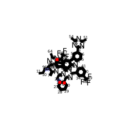 C=C(/C=C\C)N(C(=C)/C=C\CC)c1ccc(C(F)(F)F)cc1-c1nc(-c2ccccc2)nc(-c2cc(C(F)(F)F)ccc2-n2c3ccc(-c4nc(C)nc(C)n4)cc3c3cc(-c4nc(C)nc(C)n4)ccc32)n1